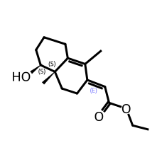 CCOC(=O)/C=C1\CC[C@@]2(C)C(=C1C)CCC[C@@H]2O